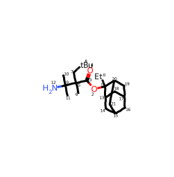 CCC1(OC(=O)C(C)(CC(C)(C)C)C(C)(C)N)C2CC3CC(C2)CC1C3